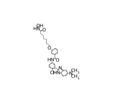 CN(C)c1ccc2[nH]c(-c3cc(NC(=O)c4cccc(OCCCCCCC(=O)NO)c4)ccc3Cl)nc2c1